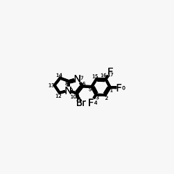 Fc1cc(F)c(-c2nc3n(c2Br)CCC3)cc1F